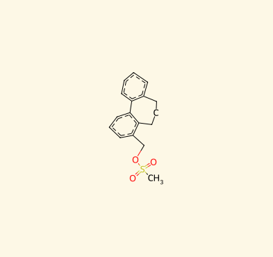 CS(=O)(=O)OCc1cccc2c1CCCc1ccccc1-2